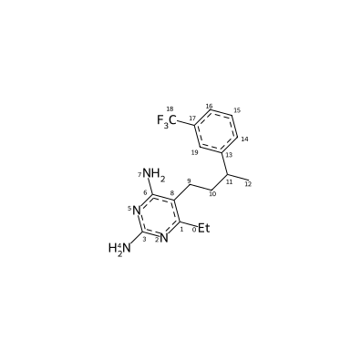 CCc1nc(N)nc(N)c1CCC(C)c1cccc(C(F)(F)F)c1